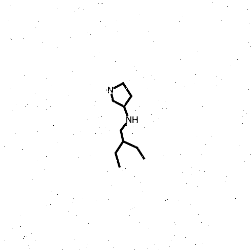 CCC(CC)CNC1CC[N]C1